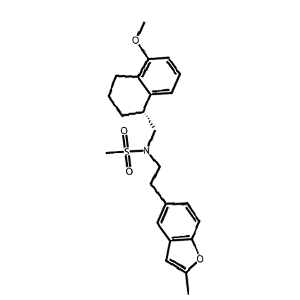 COc1cccc2c1CCC[C@H]2CN(CCc1ccc2oc(C)cc2c1)S(C)(=O)=O